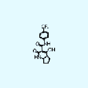 O=C(Nc1ccc(C(F)(F)F)cc1)C1=C(O)C2CCCC2NC1=O